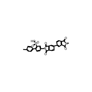 Cc1ccc(-c2ccc(N3C(=O)c4ccc(-c5ccc6c(c5)C(=O)N(C)C6=O)cc4C3=O)cc2S(=O)(=O)O)cc1